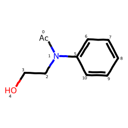 [CH2]C(=O)N(CCO)c1ccccc1